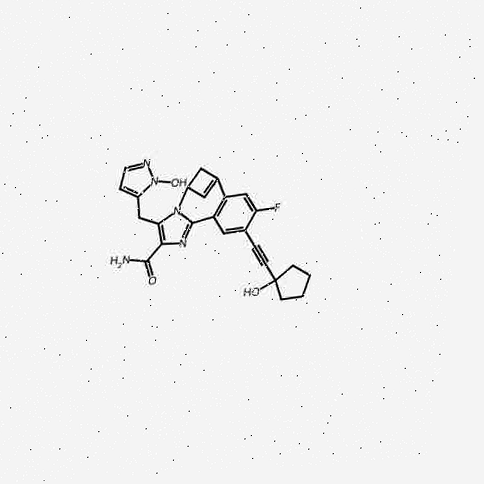 NC(=O)c1nc2n(c1Cc1ccnn1O)C1C=C(C1)c1cc(F)c(C#CC3(O)CCCC3)cc1-2